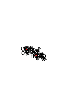 CC(C)C1=C(C(=O)N2C[C@H](F)C[C@@H]2C(=O)N2CC3(CC3)N(C(=O)OC(C)(C)C)C[C@@H]2C(=O)O)SC2=N[C@@](C)(c3ccc(Cl)nc3)[C@@H](c3ccc(Cl)c(F)c3)N21